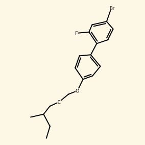 CCC(C)CCCOc1ccc(-c2ccc(Br)cc2F)cc1